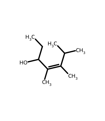 CCC(O)C(C)=C(C)C(C)C